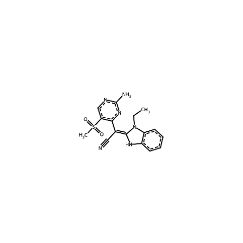 CCN1C(=C(C#N)c2nc(N)ncc2S(C)(=O)=O)Nc2ccccc21